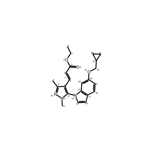 CCOC(=O)/C=C/c1c(C)nn(C)c1-n1ccc2ccc(OCC3CC3)cc21